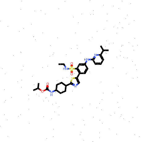 CCNS(=O)(=O)c1cc(Nc2cccc(C(C)C)n2)ccc1-c1cnc(C2CCC(NC(=O)OC(C)C)CC2)s1